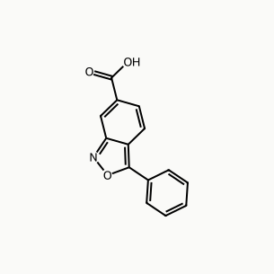 O=C(O)c1ccc2c(-c3ccccc3)onc2c1